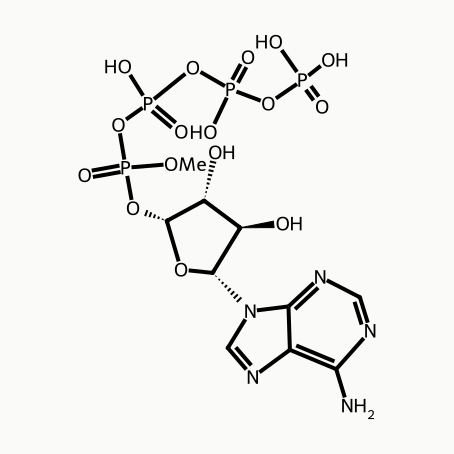 COP(=O)(O[C@H]1O[C@@H](n2cnc3c(N)ncnc32)[C@H](O)[C@H]1O)OP(=O)(O)OP(=O)(O)OP(=O)(O)O